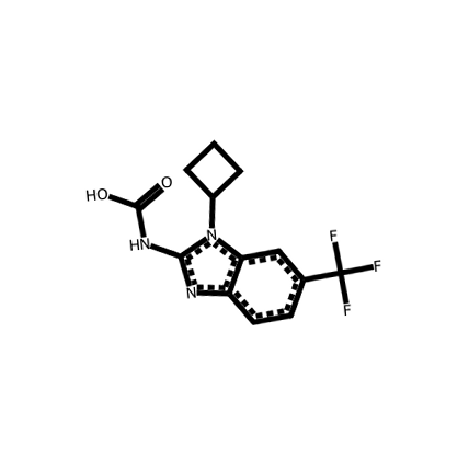 O=C(O)Nc1nc2ccc(C(F)(F)F)cc2n1C1CCC1